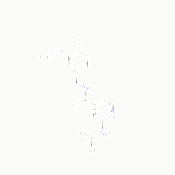 CCC(=O)Nc1cc(C(=O)NCc2ccc(F)c(OC(F)(F)F)c2)ccn1